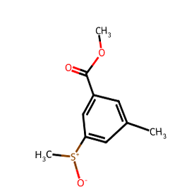 COC(=O)c1cc(C)cc([S+](C)[O-])c1